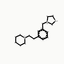 c1cc(CCN2CCCCC2)cc(CN2CCSC2)c1